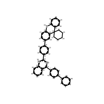 c1ccc(-c2ccc(-c3nc(-c4ccc(-c5ccc6c(c5)C5(CCCCC5)c5ccccc5S6)cc4)nc4ccccc34)cc2)cc1